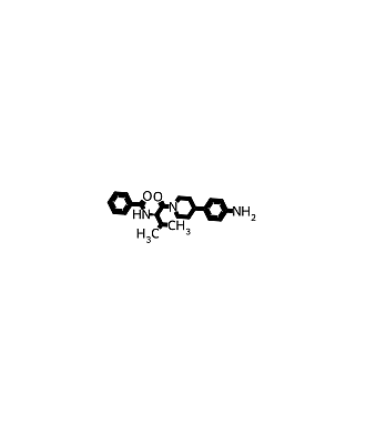 CC(C)[C@@H](NC(=O)c1ccccc1)C(=O)N1CCC(c2ccc(N)cc2)CC1